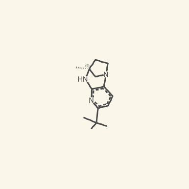 CC(C)(C)c1ccc2c(n1)N[C@@]1(C)CCN2C1